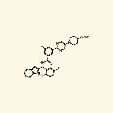 CNC1CCN(c2cnc(-c3cc(C)cc(C(=O)NC(c4cc5ccccc5[nH]4)c4cc(F)ccc4O)c3)nc2)CC1